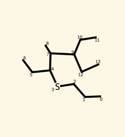 CCCSC(CC)C(C)C(CC)CC